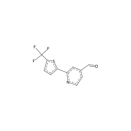 O=Cc1ccnc(-c2ccc(C(F)(F)F)s2)c1